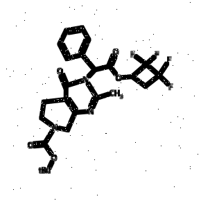 Cc1nc2c(c(=O)n1C(C(=O)OC1CC(F)(F)C1(F)F)c1ccccc1)CCN(C(=O)OC(C)(C)C)C2